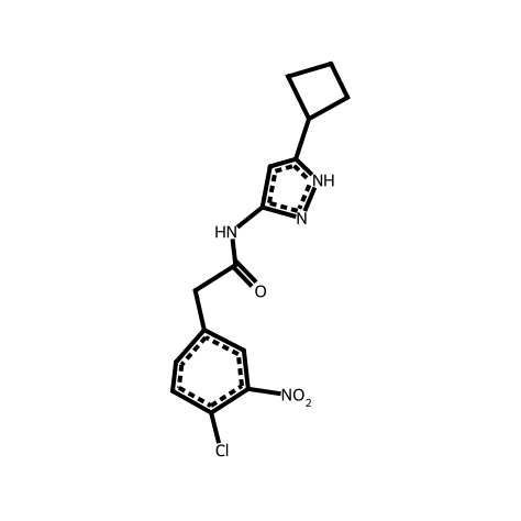 O=C(Cc1ccc(Cl)c([N+](=O)[O-])c1)Nc1cc(C2CCC2)[nH]n1